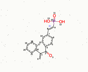 C=C(C(=O)c1ccc(/C=C/P(=O)(O)O)cc1)c1ccccc1